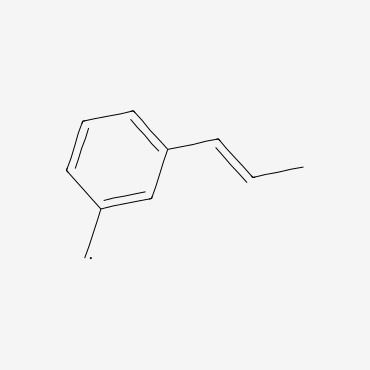 [CH2]c1cccc(C=CC)c1